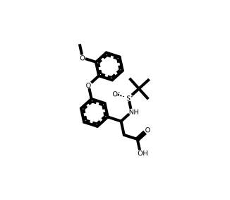 COc1ccccc1Oc1cccc(C(CC(=O)O)N[S@+]([O-])C(C)(C)C)c1